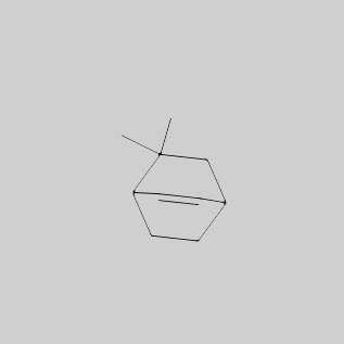 IC1(I)CC2C=CC1CC2